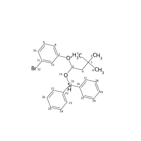 CC(C)(C)CC(Oc1cccc(Br)c1)O[SiH](c1ccccc1)c1ccccc1